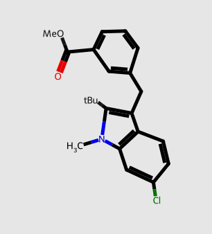 COC(=O)c1cccc(Cc2c(C(C)(C)C)n(C)c3cc(Cl)ccc23)c1